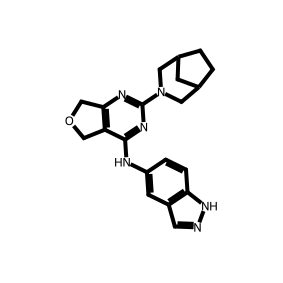 c1cc2[nH]ncc2cc1Nc1nc(N2CC3CCC(C3)C2)nc2c1COC2